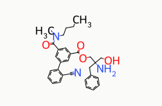 CCCCN(C)C(=O)c1cc(C(=O)OCC(N)(CO)Cc2ccccc2)cc(-c2ccccc2C#N)c1